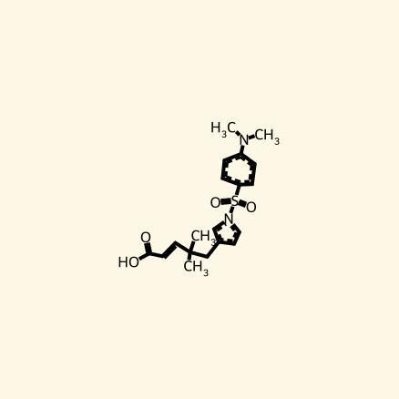 CN(C)c1ccc(S(=O)(=O)n2ccc(CC(C)(C)/C=C/C(=O)O)c2)cc1